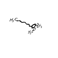 CCCCCCCCc1ccc(OC)c(OC)c1